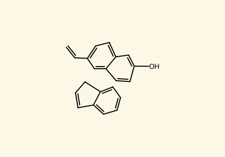 C1=Cc2ccccc2C1.C=Cc1ccc2cc(O)ccc2c1